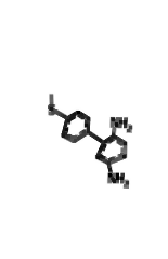 CSc1ccc(-c2cc(N)ccc2N)cc1